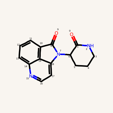 O=C1NCCCC1N1C(=O)c2cccc3nccc1c23